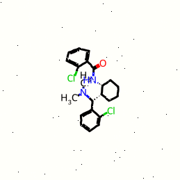 CN(C)C(c1ccccc1Cl)[C@H]1CCCC[C@H]1NC(=O)c1ccccc1Cl